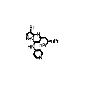 CCCC(CCC)Cc1cc(Nc2ccncc2)n2ncc(Br)c2n1